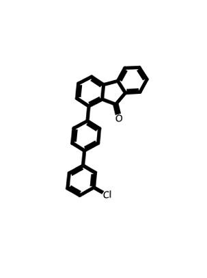 O=C1c2ccccc2-c2cccc(-c3ccc(-c4cccc(Cl)c4)cc3)c21